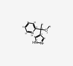 [CH2]C(OC)(c1cn[nH]c1)c1ccccn1